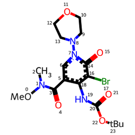 CON(C)C(=O)c1cn(N2CCOCC2)c(=O)c(Br)c1NC(=O)OC(C)(C)C